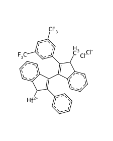 CC1C(c2cc(C(F)(F)F)cc(C(F)(F)F)c2)=C(C2=C(c3ccccc3)[CH]([Hf+2])c3ccccc32)c2ccccc21.[Cl-].[Cl-]